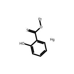 CCOC(=S)c1ccccc1O.[Hg]